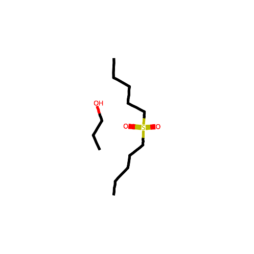 CCCCCS(=O)(=O)CCCCC.CCCO